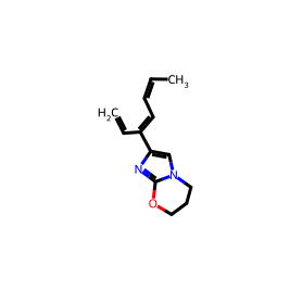 C=C/C(=C\C=C/C)c1cn2c(n1)OCCC2